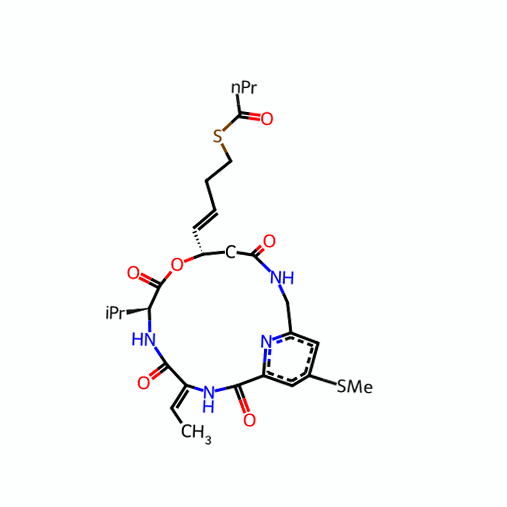 C/C=C1\NC(=O)c2cc(SC)cc(n2)CNC(=O)C[C@@H](/C=C/CCSC(=O)CCC)OC(=O)[C@H](C(C)C)NC1=O